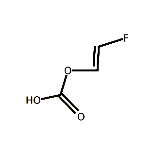 O=C(O)OC=CF